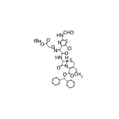 C=CC1=C(C(=O)OC(c2ccccc2)c2ccccc2)N2C(=O)C(NC(=O)C(=NOCC(=O)OC(C)(C)C)c3nc(NC=O)sc3Cl)[C@@H]2SC1